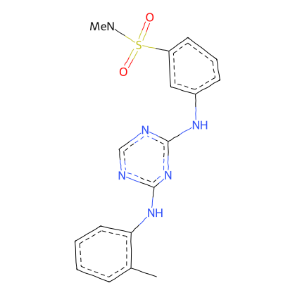 CNS(=O)(=O)c1cccc(Nc2ncnc(Nc3ccccc3C)n2)c1